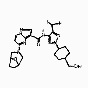 O=C(Nc1cn(C2CCC(CO)CC2)nc1C(F)F)c1cnn2ccc(N3CC4CCC(C3)O4)nc12